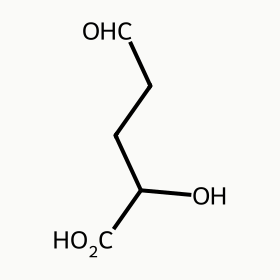 O=CCCC(O)C(=O)O